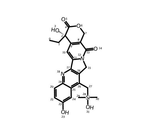 CC[C@@]1(O)C(=O)OCc2c1cc1n(c2=O)Cc2c-1nc1ccc(O)cc1c2C[Si](C)(C)O